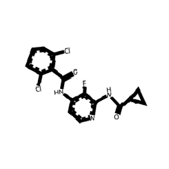 O=C(Nc1ccnc(NC(=O)C2CC2)c1F)c1c(Cl)cccc1Cl